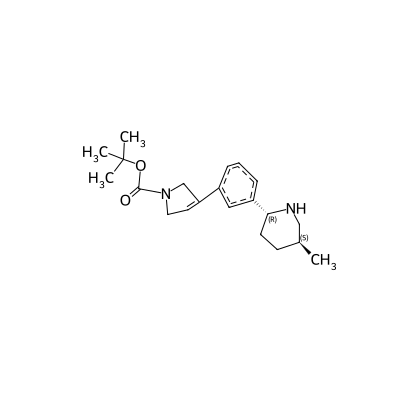 C[C@H]1CC[C@H](c2cccc(C3=CCN(C(=O)OC(C)(C)C)C3)c2)NC1